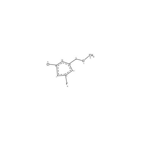 CO[CH]c1cc(F)cc(Cl)c1